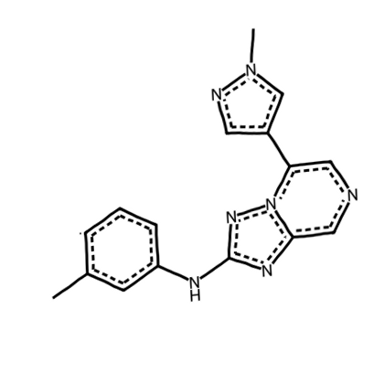 Cc1[c]ccc(Nc2nc3cncc(-c4cnn(C)c4)n3n2)c1